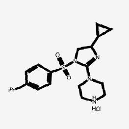 CC(C)c1ccc(S(=O)(=O)N2CC(C3CC3)N=C2N2CCNCC2)cc1.Cl